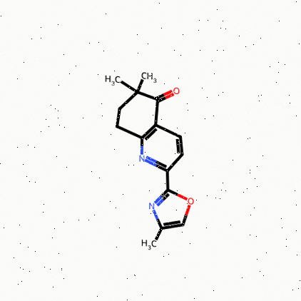 Cc1coc(-c2ccc3c(n2)CCC(C)(C)C3=O)n1